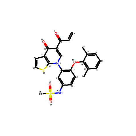 C=CC(=O)c1cn(-c2cc(NS(=O)(=O)CC)ccc2Oc2c(C)cccc2C)c2sccc2c1=O